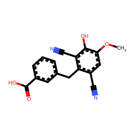 COc1cc(C#N)c(Cc2cccc(C(=O)O)c2)c(C#N)c1O